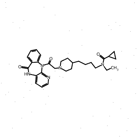 CCN(CCCCC1CCN(CC(=O)N2c3ccccc3C(=O)Nc3cccnc32)CC1)C(=O)C1CC1